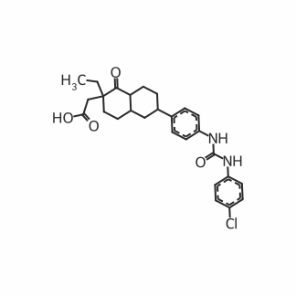 CCC1(CC(=O)O)CCC2CC(c3ccc(NC(=O)Nc4ccc(Cl)cc4)cc3)CCC2C1=O